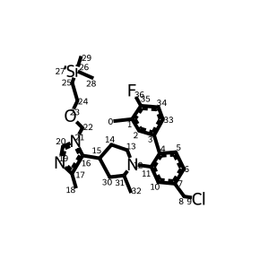 Cc1cc(-c2ccc(CCl)cc2N2CCC(c3c(C)ncn3COCC[Si](C)(C)C)CC2C)ccc1F